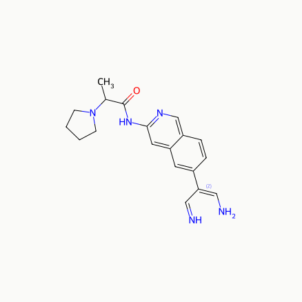 CC(C(=O)Nc1cc2cc(/C(C=N)=C/N)ccc2cn1)N1CCCC1